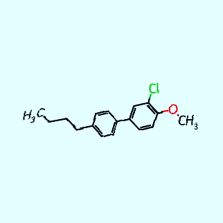 CCCCc1ccc(-c2ccc(OC)c(Cl)c2)cc1